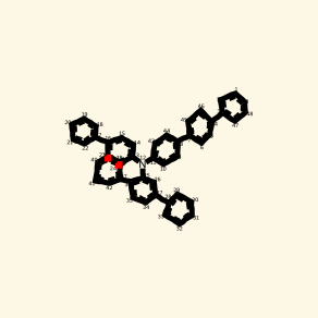 c1ccc(-c2ccc(-c3ccc(N(c4ccc(-c5ccccc5)cc4)c4cc(-c5ccccc5)ccc4-c4ccccc4)cc3)cc2)cc1